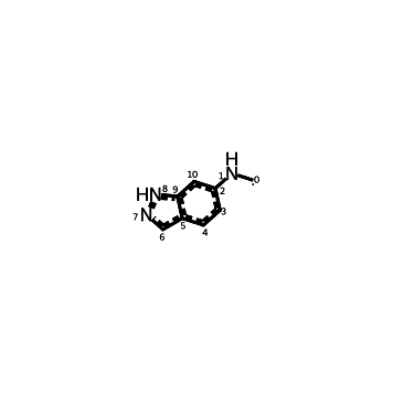 [CH2]Nc1ccc2cn[nH]c2c1